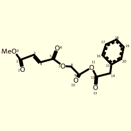 COC(=O)/C=C/C(=O)OCC(=O)OC(=O)Cc1ccccc1